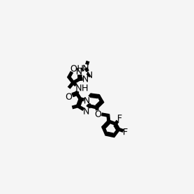 Cc1nc2c(OCc3cccc(F)c3F)cccn2c1C(=O)NC(C)(CO)c1nnn(C)n1